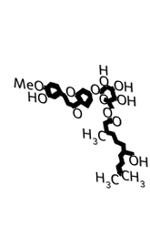 COc1ccc(C2CC(=O)c3ccc(OC4OC(COC(=O)CC(C)CCCC(CO)CCC=C(C)C)C(O)C(O)C4O)cc3O2)cc1O